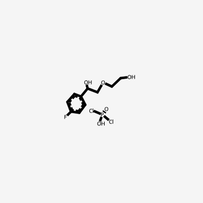 O=P(O)(Cl)Cl.OCCOCC(O)c1ccc(F)cc1